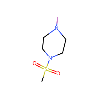 CS(=O)(=O)N1CCN(I)CC1